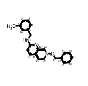 Cc1cccc(CNc2ccc3c(n2)=CN(OCc2ccccc2)CC=3)c1